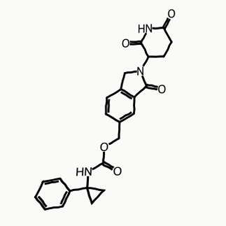 O=C1CCC(N2Cc3ccc(COC(=O)NC4(c5ccccc5)CC4)cc3C2=O)C(=O)N1